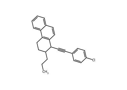 CCCC1CCc2c(ccc3ccccc23)C1C#Cc1ccc(Cl)cc1